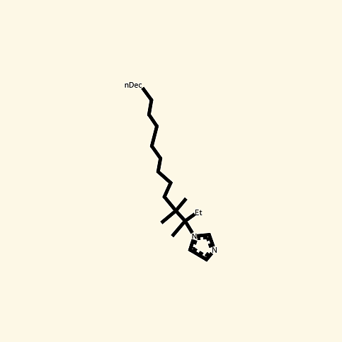 CCCCCCCCCCCCCCCCCCC(C)(C)C(C)(CC)n1ccnc1